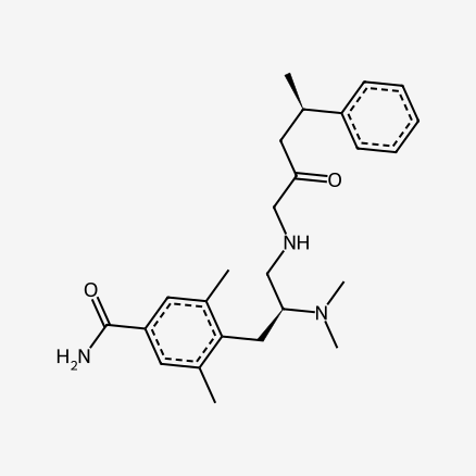 Cc1cc(C(N)=O)cc(C)c1C[C@@H](CNCC(=O)C[C@@H](C)c1ccccc1)N(C)C